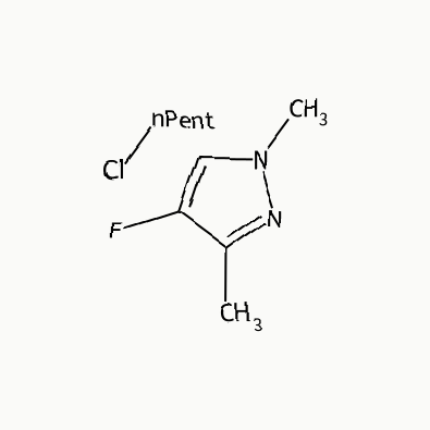 CCCCCCl.Cc1nn(C)cc1F